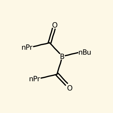 CCCCB(C(=O)CCC)C(=O)CCC